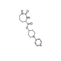 O=C1NCCCC(C(=O)OC2CCN(c3ccncc3)CC2)N1